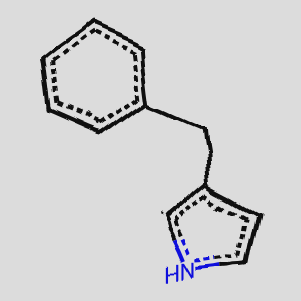 [c]1[nH]ccc1Cc1ccccc1